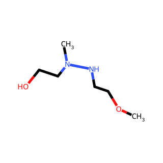 COCCNN(C)CCO